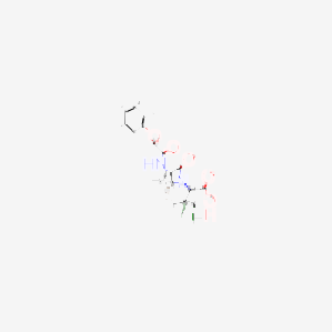 C[C@@]1(Cl)CS[C@H]2[C@H](NC(=O)COc3ccccc3)C(=O)N2[C@H]1C(=O)O